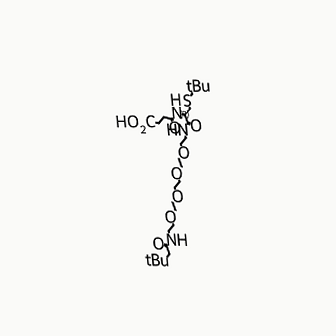 CC(C)(C)CSC[C@H](NC(=O)CCC(=O)O)C(=O)NCCOCCOCCOCCOCCNC(=O)CC(C)(C)C